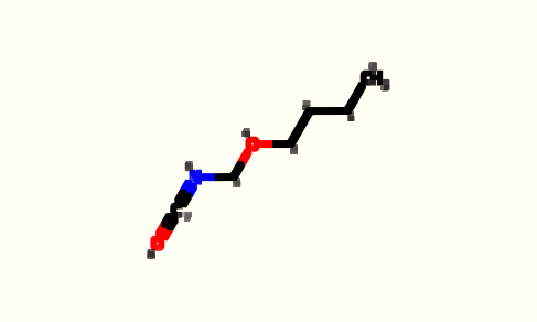 CCCCOCN=C=O